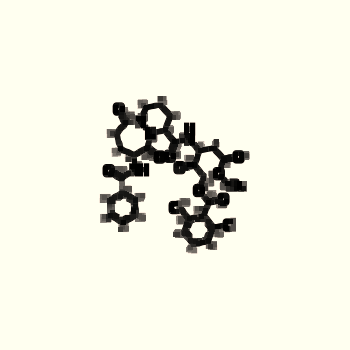 CC(C)(C)OC(=O)CC(NC(=O)C1CCCN2C(=O)CCC(NC(=O)c3ccccc3)C(=O)N12)C(=O)COC(=O)c1c(Cl)cccc1Cl